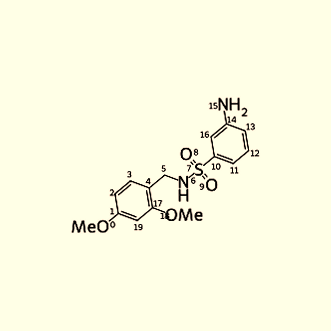 COc1ccc(CNS(=O)(=O)c2cccc(N)c2)c(OC)c1